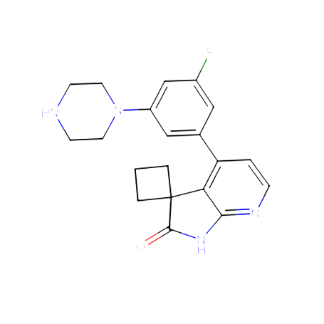 O=C1Nc2nccc(-c3cc(F)cc(N4CCNCC4)c3)c2C12CCC2